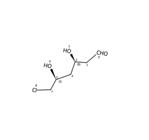 O=CC[C@H](O)C[C@H](O)CCl